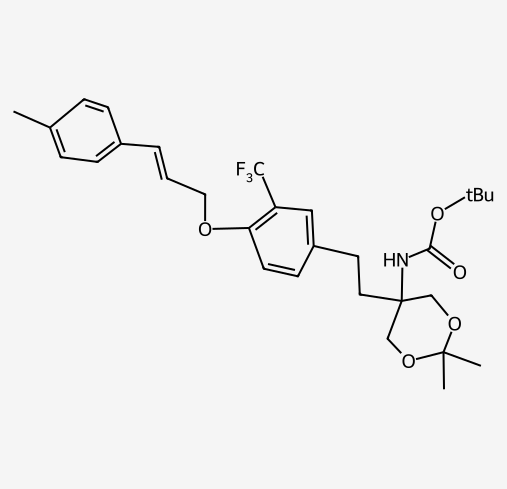 Cc1ccc(/C=C/COc2ccc(CCC3(NC(=O)OC(C)(C)C)COC(C)(C)OC3)cc2C(F)(F)F)cc1